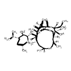 CC[C@H]1OC(=O)[C@H](C)C(=O)[C@H](C)[C@@H](O[C@@H]2O[C@H](C)C[C@H](N(C)C)[C@H]2O)[C@@]2(C)C[C@@H](C)NC[C@H](C)[C@@H](CCC(=O)CO2)[C@]1(C)O